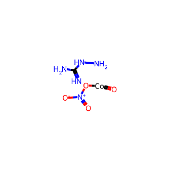 N=C(N)NN.[O]=[Co][O][N+](=O)[O-]